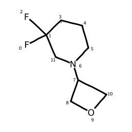 FC1(F)[CH]CCN(C2COC2)C1